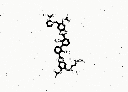 Cc1c(-c2nc3cc(CN(C)CCN(C)C)c(OC(F)F)cc3o2)cccc1-c1cccc(-c2nc3cc(CN4CCC[C@H]4C(=O)O)c(OC(F)F)cc3o2)c1C